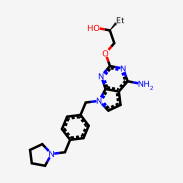 CC[C@H](O)COc1nc(N)c2ccn(Cc3ccc(CN4CCCC4)cc3)c2n1